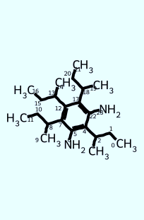 CCC(C)c1c(N)c(C(C)CC)c(C(C)CC)c(C(C)CC)c1N